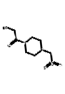 CC(C)CC(=O)N1CCN(C[SH](=O)=O)CC1